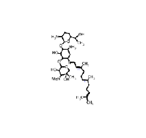 CNC1C(O)C(OC2C(N=C/C=C(\C)CC/C=C(\C)CCC=C(C)C)CC(N)C(OC3OC(C(C)O)CCC3N)C2O)OCC1(C)O